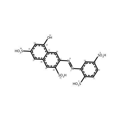 O=S(=O)(O)c1ccc(S(=O)(=O)O)c(N=Nc2cc3c(O)cc(S(=O)(=O)O)cc3cc2S(=O)(=O)O)c1